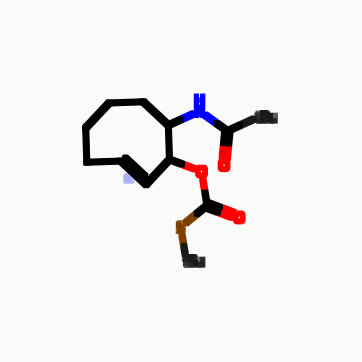 CC(C)(C)SC(=O)OC1/C=C/CCCCC1NC(=O)C(C)(C)C